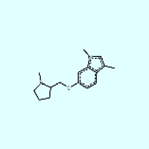 Cc1cn(C)c2cc(OCC3CCCN3C)ccc12